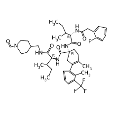 CCC(C)[C@H](NC(=O)Cc1ccccc1F)C(=O)N[C@]1(C(=O)N[C@H](C(=O)NCC2CCN(C=O)CC2)C(C)CC)CCC(C)=C(c2cccc(C(F)(F)F)c2C)C1